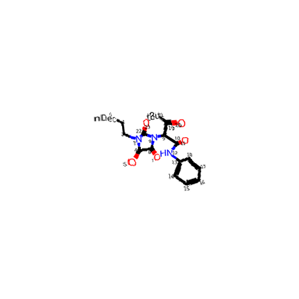 CCCCCCCCCCCCN1C(=O)C(=O)N(C(C(=O)Nc2ccccc2)C(=O)C(C)(C)C)C1=O